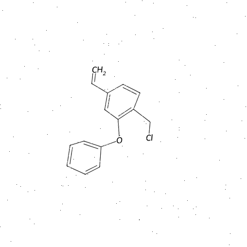 C=Cc1ccc(CCl)c(Oc2ccccc2)c1